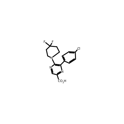 O=C(O)c1cnc(N2CCC(F)(F)CC2)c(-c2ccc(Cl)cc2)n1